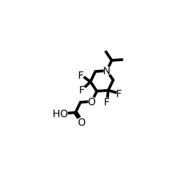 CC(C)N1CC(F)(F)C(OCC(=O)O)C(F)(F)C1